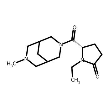 CCN1C(=O)CC[C@H]1C(=O)N1CC2CC(CN(C)C2)C1